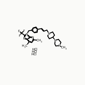 Cc1cc(C)c2nc(C(F)(F)F)n(Cc3ccc(C=CCN4CCC(N5CCN(C)CC5)CC4)cc3)c2n1.Cl.Cl.Cl